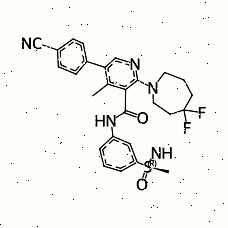 Cc1c(-c2ccc(C#N)cc2)cnc(N2CCCC(F)(F)CC2)c1C(=O)Nc1cccc([S@](C)(=N)=O)c1